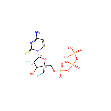 Nc1ccn([C@@H]2O[C@](CF)(COP(=O)(O)OP(=O)(O)OP(=O)(O)O)C(O)[C@@H]2F)c(=S)n1